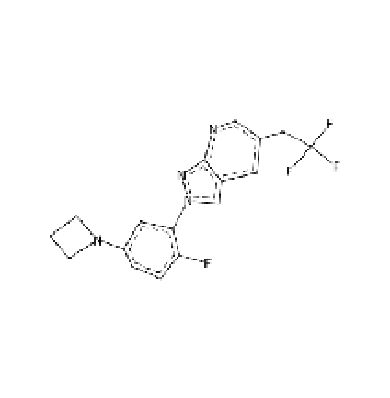 Fc1ccc(N2CCC2)cc1-n1cc2cc(CC(F)(F)F)cnc2n1